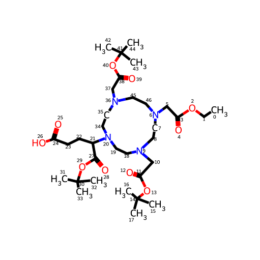 CCOC(=O)CN1CCN(CC(=O)OC(C)(C)C)CCN(C(CCC(=O)O)C(=O)OC(C)(C)C)CCN(CC(=O)OC(C)(C)C)CC1